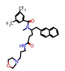 CN(C(=O)c1cc(C(F)(F)F)cc(C(F)(F)F)c1)C(CCC(=O)NCCCN1CCOCC1)Cc1ccc2ccccc2c1